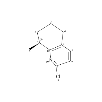 C[C@H]1CCCc2ccc(Cl)nc21